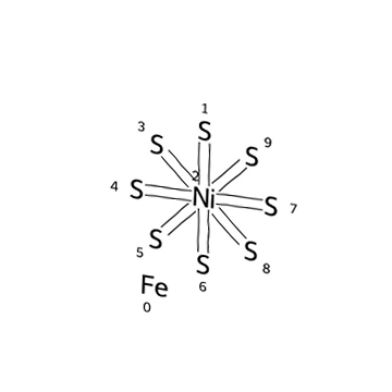 [Fe].[S]=[Ni](=[S])(=[S])(=[S])(=[S])(=[S])(=[S])=[S]